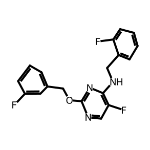 Fc1cccc(COc2ncc(F)c(NCc3ccccc3F)n2)c1